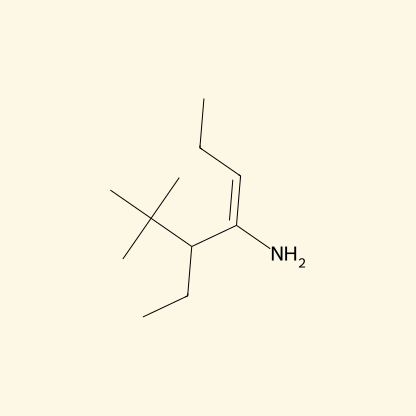 CC/C=C(/N)C(CC)C(C)(C)C